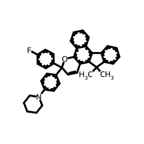 CC1(C)c2ccccc2-c2c1c1c(c3ccccc23)OC(c2ccc(F)cc2)(c2ccc(N3CCCCC3)cc2)C=C1